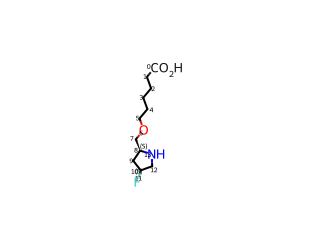 O=C(O)CCCCCOC[C@@H]1C[C@H](F)CN1